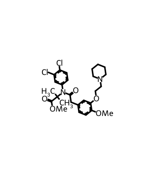 COC(=O)C(C)(C)N(C(=O)Cc1ccc(OC)c(OCCN2CCCCC2)c1)c1ccc(Cl)c(Cl)c1